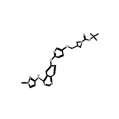 Cn1ccc(Nc2ncnc3ccc(Oc4ccc(OCC5CN(C(=O)OC(C)(C)C)C5)cn4)cc23)n1